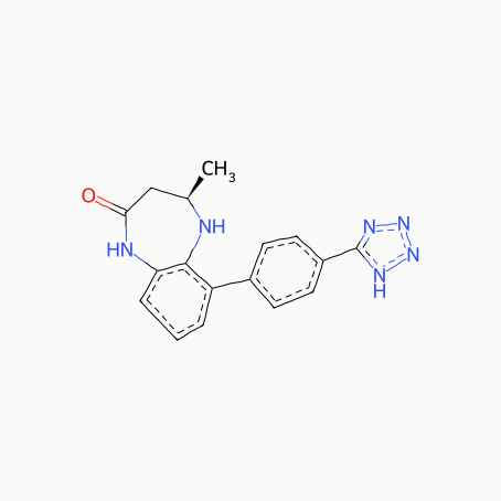 C[C@@H]1CC(=O)Nc2cccc(-c3ccc(-c4nnn[nH]4)cc3)c2N1